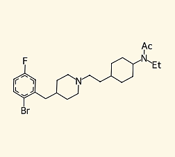 CCN(C(C)=O)C1CCC(CCN2CCC(Cc3cc(F)ccc3Br)CC2)CC1